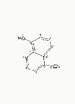 N#Cc1ccnc2c(O)cccc12